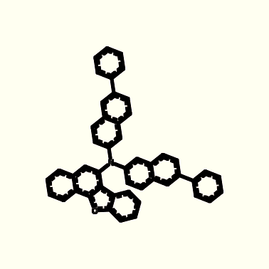 c1ccc(-c2ccc3cc(N(c4ccc5cc(-c6ccccc6)ccc5c4)c4cc5ccccc5c5oc6ccccc6c45)ccc3c2)cc1